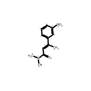 C/C(=C\C(=O)N(C)C#N)c1cccc([N+](=O)[O-])c1